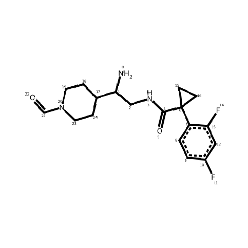 NC(CNC(=O)C1(c2ccc(F)cc2F)CC1)C1CCN(C=O)CC1